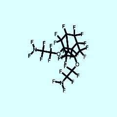 FN(F)C(F)(F)C(F)(F)OC12C(F)(F)C3(F)C(F)(F)C(F)(C1(F)F)C(F)(F)C(OC(F)(F)C(F)(F)N(F)F)(C3(F)F)C2(F)F